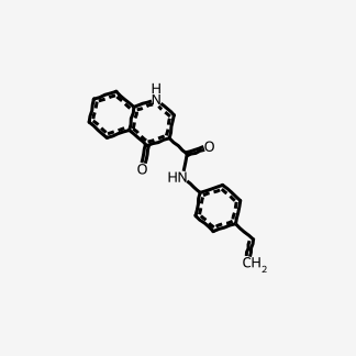 C=Cc1ccc(NC(=O)c2c[nH]c3ccccc3c2=O)cc1